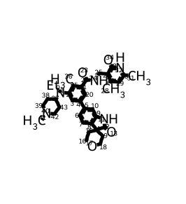 CCN(c1cc(-c2ccc3c(c2)NC(=O)C32CCOCC2)cc(C(=O)NCc2c(C)cc(C)[nH]c2=O)c1C)C1CCN(C)CC1